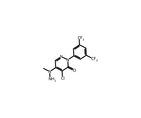 CN(N)c1cnn(-c2cc(C(F)(F)F)cc(C(F)(F)F)c2)c(=O)c1Cl